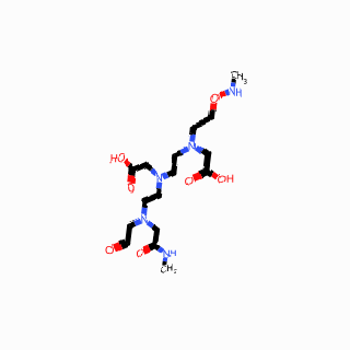 CNOCCN(CCN(CCN(CC=O)CC(=O)NC)CC(=O)O)CC(=O)O